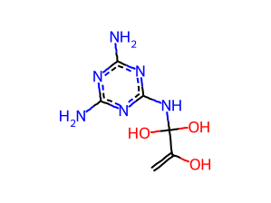 C=C(O)C(O)(O)Nc1nc(N)nc(N)n1